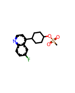 CS(=O)(=O)OC1CCC(c2ccnc3ccc(F)cc23)CC1